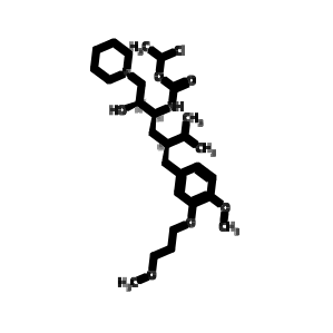 COCCCOc1cc(C[C@@H](C[C@H](NC(=O)OC(C)Cl)[C@@H](O)CN2CCCCC2)C(C)C)ccc1OC